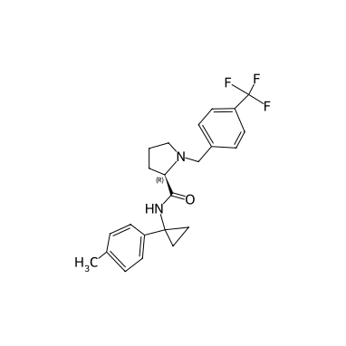 Cc1ccc(C2(NC(=O)[C@H]3CCCN3Cc3ccc(C(F)(F)F)cc3)CC2)cc1